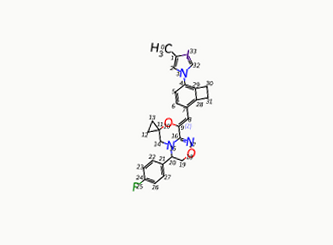 CC1=CN(c2ccc(/C=C3\OC4(CC4)CN4C3=NOCC4c3ccc(F)cc3)c3c2CC3)C=I1